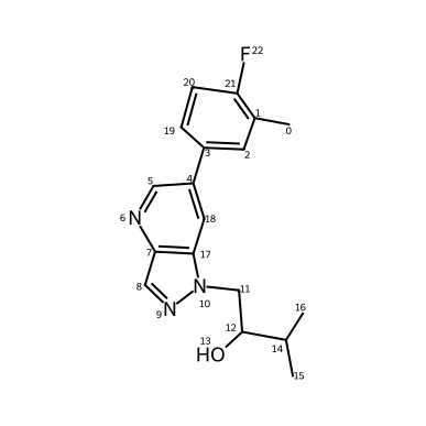 Cc1cc(-c2cnc3cnn(CC(O)C(C)C)c3c2)ccc1F